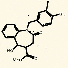 COC(=O)C1CC(=O)N(Cc2ccc(C)c(F)c2)c2ccccc2C1O